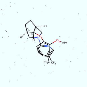 CCCOc1cc(C)ccc1O[C@@H]1[C@@H]2CC[C@H]1CN(c1ccc(C(F)(F)F)cn1)C2